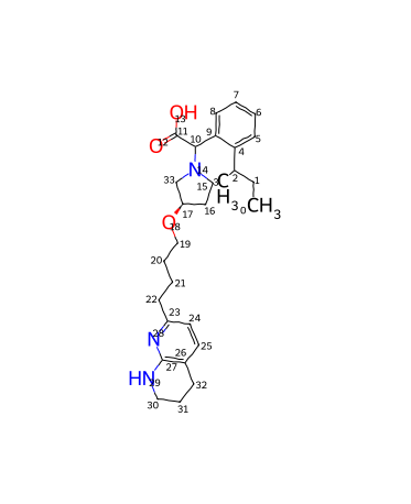 CCC(C)c1ccccc1C(C(=O)O)N1CC[C@@H](OCCCCc2ccc3c(n2)NCCC3)C1